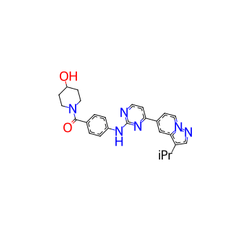 CC(C)c1cnn2ccc(-c3ccnc(Nc4ccc(C(=O)N5CCC(O)CC5)cc4)n3)cc12